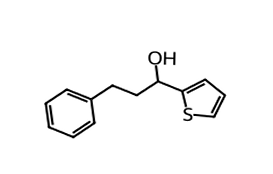 OC(CCc1ccccc1)c1cccs1